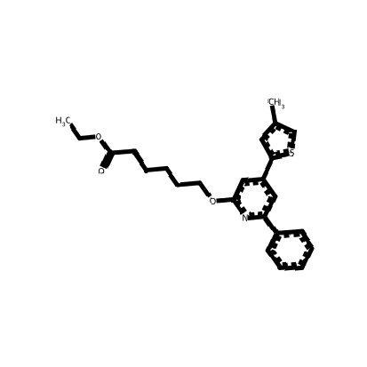 CCOC(=O)CCCCCOc1cc(-c2cc(C)cs2)cc(-c2ccccc2)n1